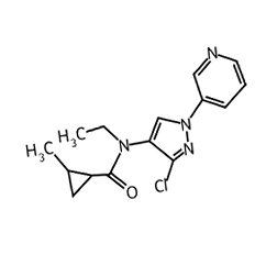 CCN(C(=O)C1CC1C)c1cn(-c2cccnc2)nc1Cl